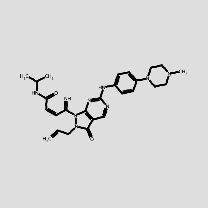 C=CCn1c(=O)c2cnc(Nc3ccc(N4CCN(C)CC4)cc3)nc2n1C(=N)/C=C\C(=O)NC(C)C